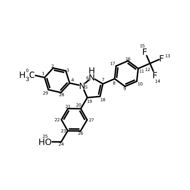 Cc1ccc(N2NC(c3ccc(C(F)(F)F)cc3)=CC2c2ccc(CO)cc2)cc1